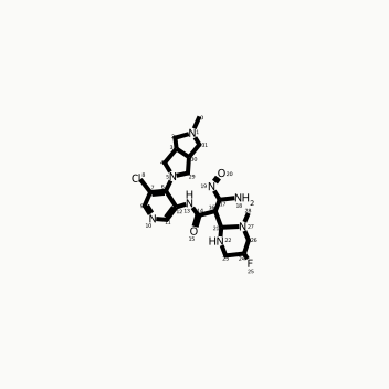 CN1CC2CN(c3c(Cl)cncc3NC(=O)C(C(N)N=O)C3NCC(F)CN3C)CC2C1